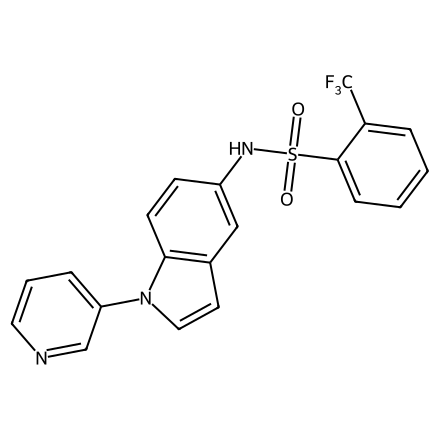 O=S(=O)(Nc1ccc2c(ccn2-c2cccnc2)c1)c1ccccc1C(F)(F)F